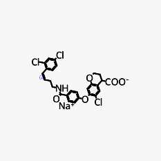 O=C(NCC/C=C\c1ccc(Cl)cc1Cl)c1ccc(Oc2cc3c(cc2Cl)C(C(=O)[O-])CCO3)cc1.[Na+]